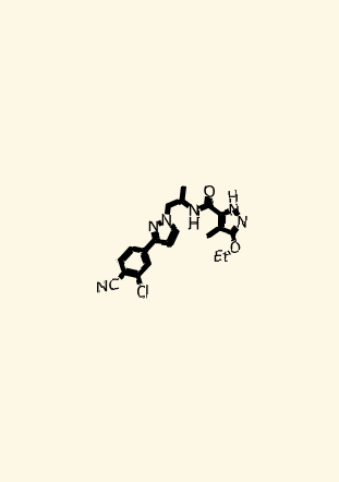 CCOc1n[nH]c(C(=O)NC(C)Cn2ccc(-c3ccc(C#N)c(Cl)c3)n2)c1C